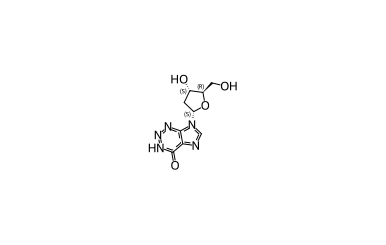 O=c1[nH]nnc2c1ncn2[C@@H]1C[C@H](O)[C@@H](CO)O1